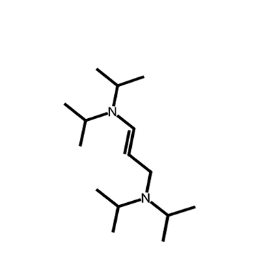 CC(C)N(C=CCN(C(C)C)C(C)C)C(C)C